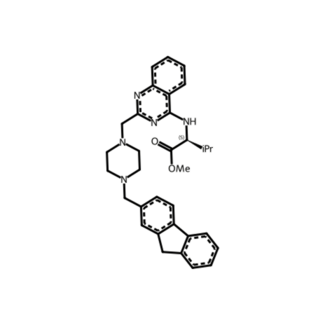 COC(=O)[C@@H](Nc1nc(CN2CCN(Cc3ccc4c(c3)Cc3ccccc3-4)CC2)nc2ccccc12)C(C)C